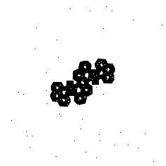 c1ccc(-n2c(-c3c4ccccc4c(-c4nc5c6cccc7ccc8cccc(c8c76)c5n4-c4ccccc4)c4ccccc34)nc3c4cccc5ccc6cccc(c6c54)c32)cc1